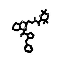 CC1(C)OCC(C)(C)C(C(=O)NCCC(=O)OC2CCCCC2NC(=O)C2CCCC2Cc2ccccc2)O1